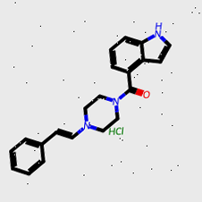 Cl.O=C(c1cccc2[nH]ccc12)N1CCN(C=Cc2ccccc2)CC1